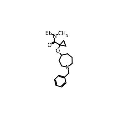 CCN(C)C(=O)C1(OC2CCCN(Cc3ccccc3)CC2)CC1